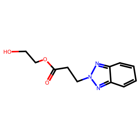 O=C(CCn1nc2ccccc2n1)OCCO